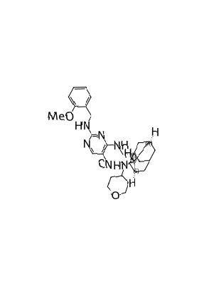 COc1ccccc1CNc1ncc(C#N)c(NC[C@@]23CC4C[C@H](C2)[C@@H](NC2CCOCC2)[C@@H](C4)C3)n1